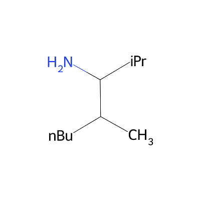 CCCCC(C)C(N)C(C)C